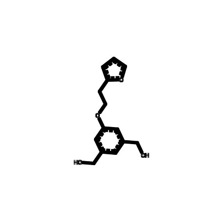 OCc1cc(CO)cc(OCCc2ccco2)c1